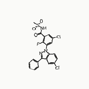 CS(=O)(=O)NC(=O)c1cc(Cl)cc(-n2nc(-c3ccccc3)c3cc(Cl)ccc32)c1F